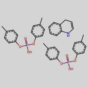 C1=CNc2ccccc2C1.Cc1ccc(OP(=O)(O)Oc2ccc(C)cc2)cc1.Cc1ccc(OP(=O)(O)Oc2ccc(C)cc2)cc1